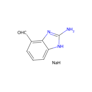 Nc1nc2c(C=O)cccc2[nH]1.[NaH]